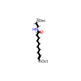 CCCCCCCCC=CCCCCCCCC(=O)NCCCCCCCCCCCC